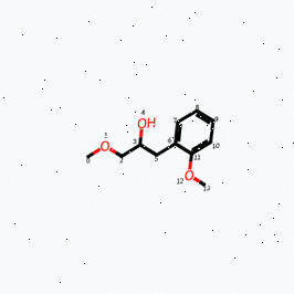 COCC(O)Cc1ccccc1OC